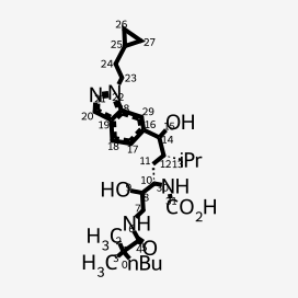 CCCCC(C)(C)C(=O)NCC(O)[C@H](C[C@@H](C(C)C)C(O)c1ccc2cnn(CCC3CC3)c2c1)NC(=O)O